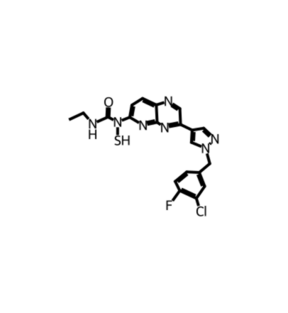 CCNC(=O)N(S)c1ccc2ncc(-c3cnn(Cc4ccc(F)c(Cl)c4)c3)nc2n1